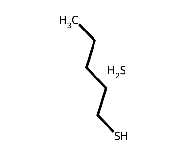 CCCCCS.S